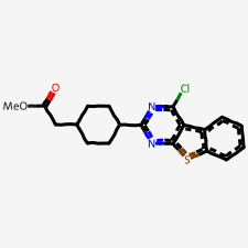 COC(=O)CC1CCC(c2nc(Cl)c3c(n2)sc2ccccc23)CC1